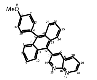 COc1ccc(-c2c3ccccc3c(-c3cnc4ncccc4c3)c3ccccc23)cc1